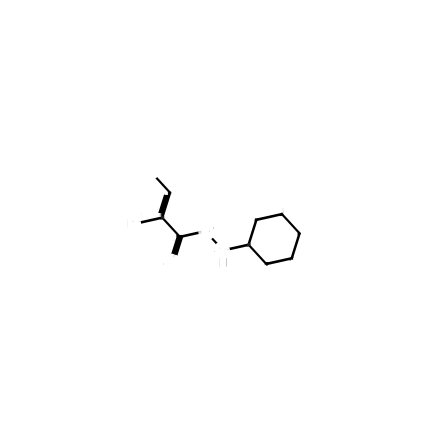 CC(C)C=C(C(=O)O[SiH2]C1CCCCC1)C(C)C